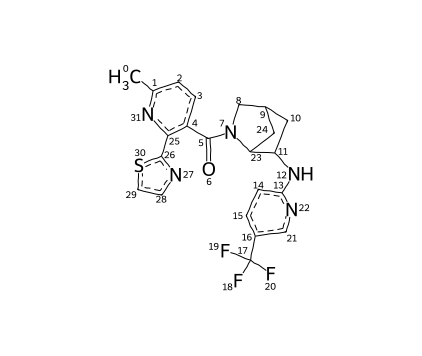 Cc1ccc(C(=O)N2CC3CC(Nc4ccc(C(F)(F)F)cn4)C2C3)c(-c2nccs2)n1